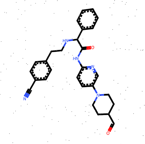 N#Cc1ccc(CCNC(C(=O)Nc2ccc(N3CCC(C=O)CC3)cn2)c2ccccc2)cc1